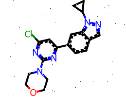 Clc1cc(-c2ccc3cnn(C4CC4)c3c2)nc(N2CCOCC2)n1